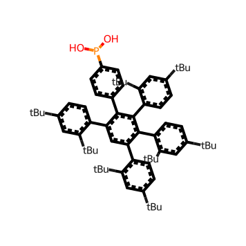 CC(C)(C)c1ccc(-c2cc(-c3ccc(C(C)(C)C)cc3C(C)(C)C)c(-c3ccc(C(C)(C)C)cc3C(C)(C)C)c(-c3ccc(C(C)(C)C)cc3C(C)(C)C)c2-c2ccc(P(O)O)cc2)c(C(C)(C)C)c1